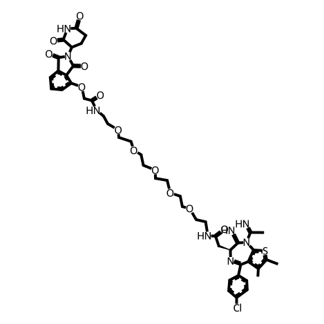 CC(=N)N1C(=N)[C@H](CC(=O)NCCOCCOCCOCCOCCOCCNC(=O)COc2cccc3c2C(=O)N(C2CCC(=O)NC2=O)C3=O)N=C(c2ccc(Cl)cc2)c2c1sc(C)c2C